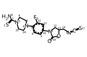 NC(=S)N1CCN(c2ccc(N3CC(CN=C=S)OC3=O)cc2F)CC1